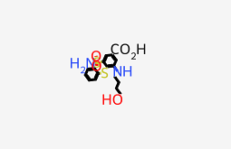 NS(=O)(=O)c1cc(C(=O)O)cc(NCCCCO)c1Sc1ccccc1